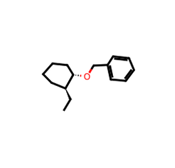 CC[C@H]1CCCC[C@@H]1OCc1ccccc1